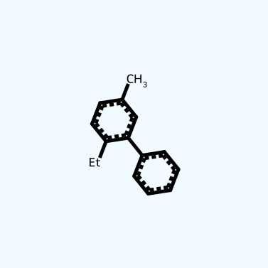 CCc1ccc(C)cc1-c1ccccc1